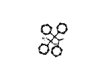 CC(c1ccccc1)C(c1ccccc1)(c1ccccc1)C(P)(P)c1ccccc1